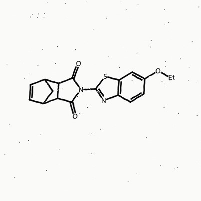 CCOc1ccc2nc(N3C(=O)C4C5C=CC(C5)C4C3=O)sc2c1